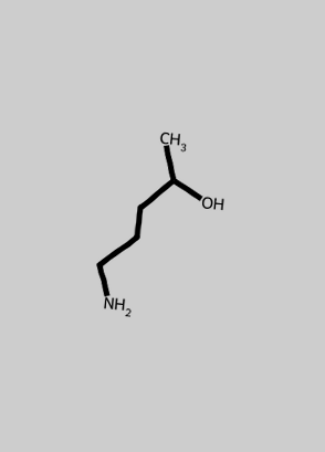 CC(O)CCCN